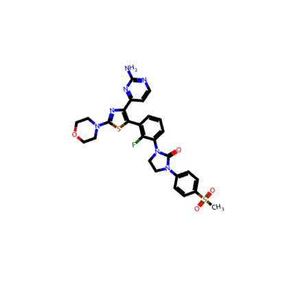 CS(=O)(=O)c1ccc(N2CCN(c3cccc(-c4sc(N5CCOCC5)nc4-c4ccnc(N)n4)c3F)C2=O)cc1